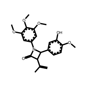 C=C(C)C1C(=O)N(c2cc(OC)c(OC)c(OC)c2)C1c1ccc(OC)c(O)c1